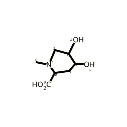 CN1CC(O)C(O)CC1C(=O)O